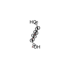 CC1=C(O)C(C(C)(C)C)=CC(C=CC(=O)OCC(C)(C)C2OCC3(CO2)COC(C(C)(C)COC(=O)C=CC2C=C(C(C)(C)C)C(O)=C(C)C2)OC3)C1